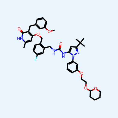 COc1cccc(Cc2c(OCc3ccc(F)cc3CNC(=O)Nc3cc(C(C)(C)C)nn3-c3cccc(OCCOC4CCCCO4)c3)cc(C)[nH]c2=O)c1